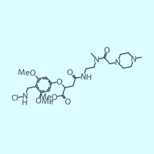 COC(=O)C(CC(=O)NCCN(C)C(=O)CN1CCN(C)CC1)Oc1cc(OC)c(CNCl)c(OC)c1